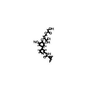 CC[C@@H](O)[C@H](CCOC(=O)CO)Oc1ccc(-c2ccnc(NC(=O)[C@@H]3C[C@H]3F)c2)cc1C#N